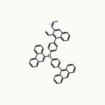 C=Cc1c(/C=C\C)cc2ccccc2c1-c1ccc(N(c2ccc(-c3c4ccccc4cc4ccccc34)cc2)c2cc3ccccc3c3ccccc23)cc1